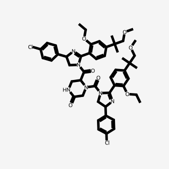 CCOc1cc(C(C)(C)COC)ccc1C1=NC(c2ccc(Cl)cc2)CN1C(=O)C1CNC(=O)CN1C(=O)N1CC(c2ccc(Cl)cc2)N=C1c1ccc(C(C)(C)COC)cc1OCC